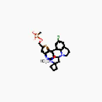 CS(=O)(=O)OCc1cc2nccc(-c3cc(Cl)cc4c3N(C3CN(C(=O)O)C5(CCC5)C3)CCC4)c2s1